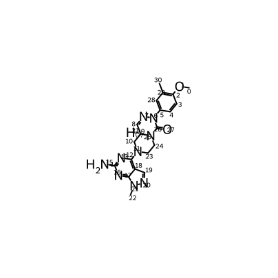 COc1ccc(N2N=C[C@@H]3CN(c4nc(N)nc5c4cnn5C)CCN3C2=O)cc1C